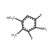 Cc1c(C(=O)O)cc(F)c(N)c1F